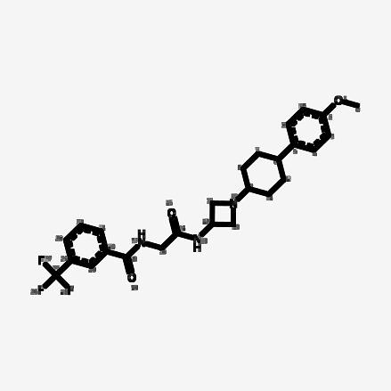 COc1ccc(C2CCC(N3CC(NC(=O)CNC(=O)c4cccc(C(F)(F)F)c4)C3)CC2)cc1